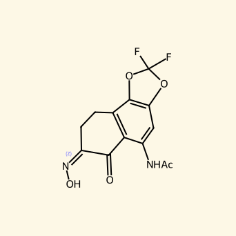 CC(=O)Nc1cc2c(c3c1C(=O)/C(=N\O)CC3)OC(F)(F)O2